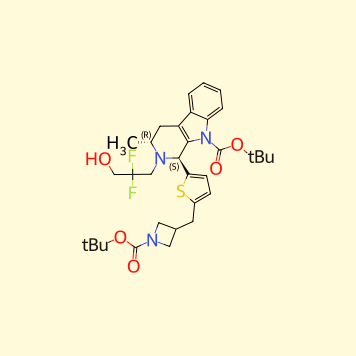 C[C@@H]1Cc2c(n(C(=O)OC(C)(C)C)c3ccccc23)[C@@H](c2ccc(CC3CN(C(=O)OC(C)(C)C)C3)s2)N1CC(F)(F)CO